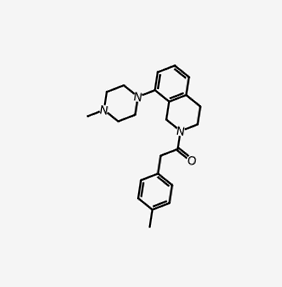 Cc1ccc(CC(=O)N2CCc3cccc(N4CCN(C)CC4)c3C2)cc1